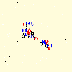 C[C@@H](OCc1ccc(CCOCCCc2cccc3c2n(C)c(=O)n3C2CCC(=O)NC2=O)cc1)[C@H](CCC(N)=O)NC(=O)[C@@H]1Cc2cccc3c2N1C(=O)[C@@H](N)CC3